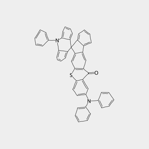 O=c1c2cc(N(c3ccccc3)c3ccccc3)ccc2sc2cc3c(cc12)-c1ccccc1C31c2ccccc2N(c2ccccc2)c2ccccc21